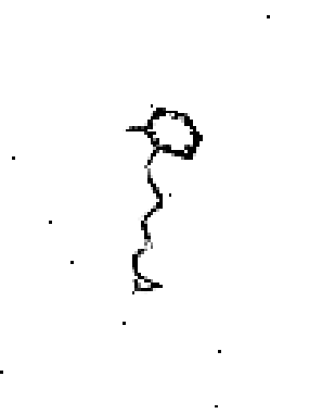 Cc1c[c]ccc1OCCOCC1CO1